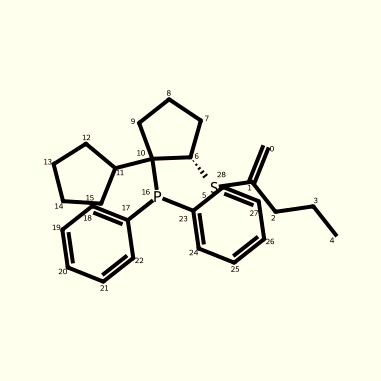 C=C(CCC)S[C@H]1CCCC1(C1CCCC1)P(c1ccccc1)c1ccccc1